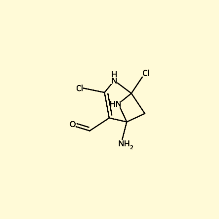 NC12CC(Cl)(NC(Cl)=C1C=O)N2